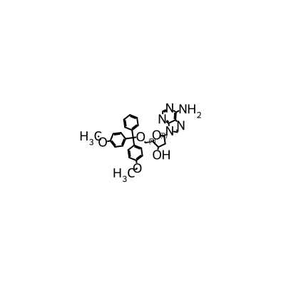 COc1ccc(C(OC[C@H]2O[C@@H](n3cnc4c(N)ncnc43)CC2O)(c2ccccc2)c2ccc(OC)cc2)cc1